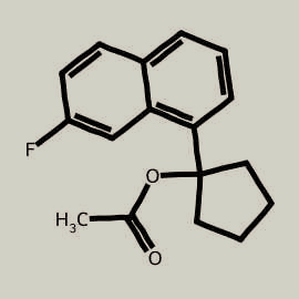 CC(=O)OC1(c2cccc3ccc(F)cc23)CCCC1